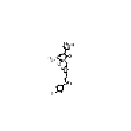 Cn1cc(-c2cn[nH]c2)c(=O)n(Cc2nc(CC[S+]([O-])c3ccc(Cl)cc3)no2)c1=O